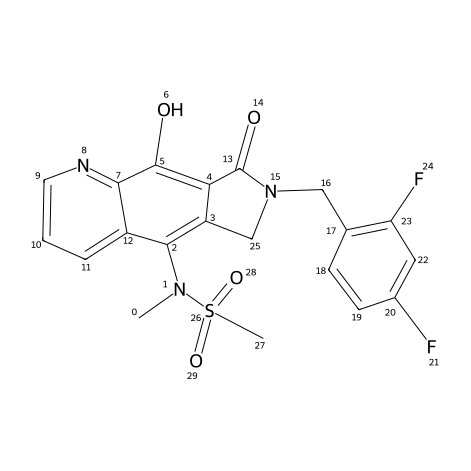 CN(c1c2c(c(O)c3ncccc13)C(=O)N(Cc1ccc(F)cc1F)C2)S(C)(=O)=O